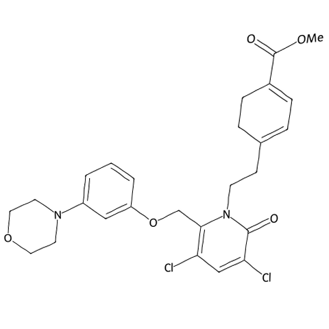 COC(=O)C1=CC=C(CCn2c(COc3cccc(N4CCOCC4)c3)c(Cl)cc(Cl)c2=O)CC1